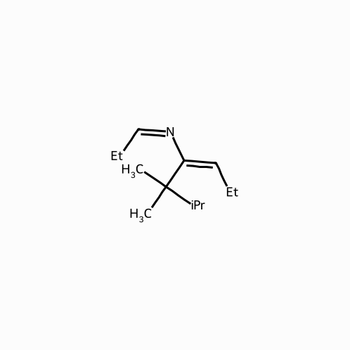 CC/C=N\C(=C\CC)C(C)(C)C(C)C